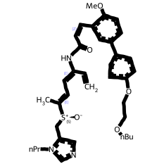 C=C/C(=C\C=C(/C)[S@+]([O-])Cc1cncn1CCC)NC(=O)/C=C\c1cc(-c2ccc(OCCOCCCC)cc2)ccc1OC